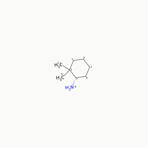 CC1(C)CCCC[C@@H]1N